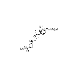 CCOC(=O)COc1ccc(N2C[C@H](CN[C@H]3CCN(C(=O)OC(C)(C)C)C3)OC2=O)nc1[N+](=O)[O-]